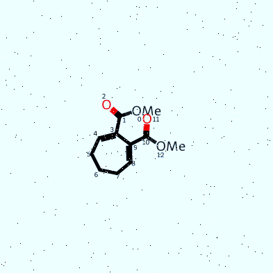 COC(=O)C1=CCCCC=C1C(=O)OC